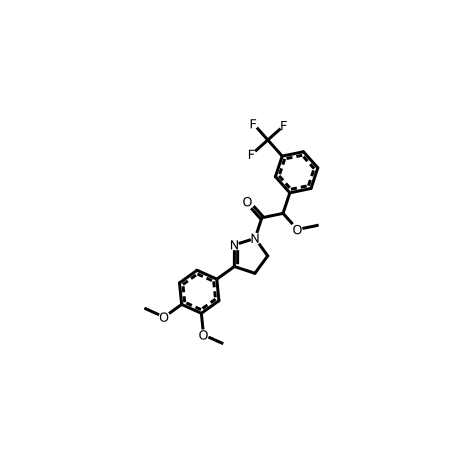 COc1ccc(C2=NN(C(=O)C(OC)c3cccc(C(F)(F)F)c3)CC2)cc1OC